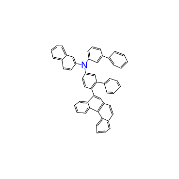 c1ccc(-c2cccc(N(c3ccc(-c4cc5ccc6ccccc6c5c5ccccc45)c(-c4ccccc4)c3)c3ccc4ccccc4c3)c2)cc1